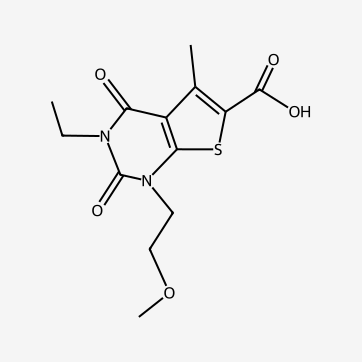 CCn1c(=O)c2c(C)c(C(=O)O)sc2n(CCOC)c1=O